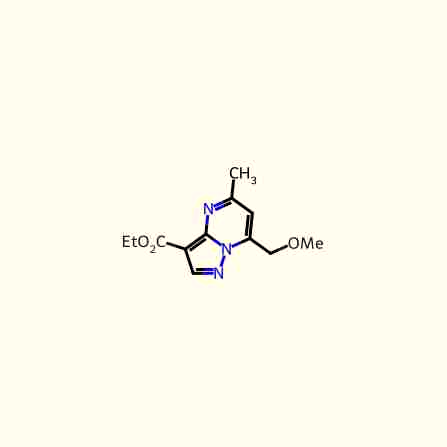 CCOC(=O)c1cnn2c(COC)cc(C)nc12